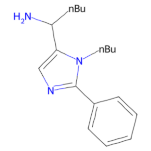 CCCCC(N)c1cnc(-c2ccccc2)n1CCCC